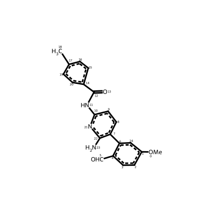 COc1ccc(C=O)c(-c2ccc(NC(=O)c3ccc(C)cc3)nc2N)c1